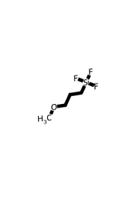 COCCC[Si](F)(F)F